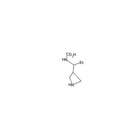 CCC(NC(=O)O)C1CNC1